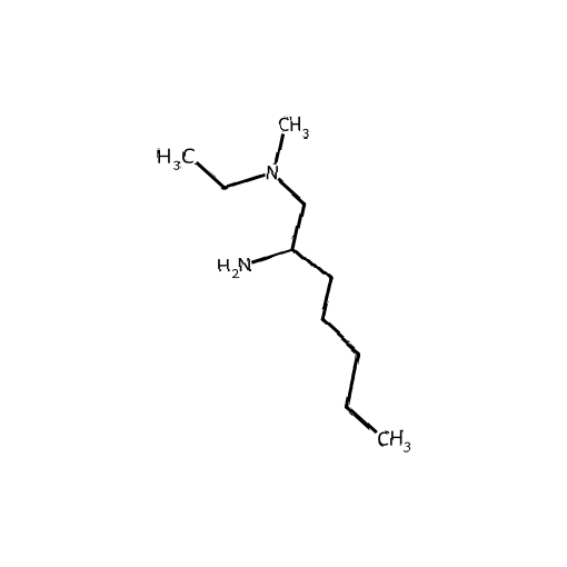 CCCCCC(N)CN(C)CC